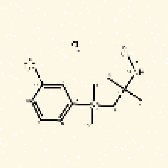 CC(C)(C[N+](C)(C)c1cccc(C(F)(F)F)c1)NCl.[Cl-]